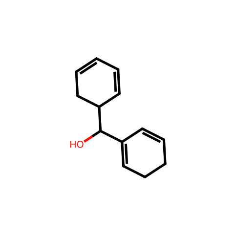 OC(C1=CCCC=C1)C1C=CC=CC1